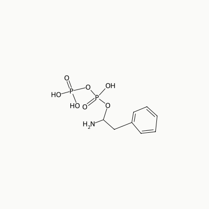 NC(Cc1ccccc1)OP(=O)(O)OP(=O)(O)O